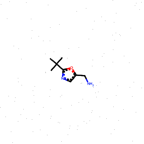 CC(C)(C)c1ncc(CN)o1